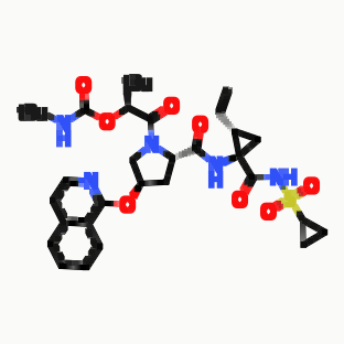 C=C[C@@H]1C[C@]1(NC(=O)[C@@H]1C[C@@H](Oc2nccc3ccccc23)CN1C(=O)[C@@H](OC(=O)NC(C)(C)C)C(C)(C)C)C(=O)NS(=O)(=O)C1CC1